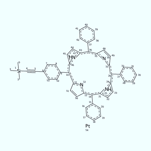 C[Si](C)(C)C#Cc1ccc(-c2c3nc(c(-c4ccccc4)c4ccc([nH]4)c(-c4ccccc4)c4nc(c(-c5ccccc5)c5ccc2[nH]5)C=C4)C=C3)cc1.[Pt]